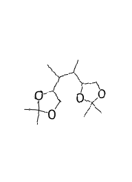 CC(C1COC(C)(C)O1)C(C)C1COC(C)(C)O1